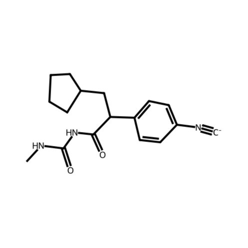 [C-]#[N+]c1ccc(C(CC2CCCC2)C(=O)NC(=O)NC)cc1